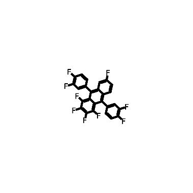 Fc1ccc2c(-c3ccc(F)c(F)c3)c3c(F)c(F)c(F)c(F)c3c(-c3ccc(F)c(F)c3)c2c1